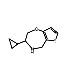 c1cc2c(s1)CNC(C1CC1)CO2